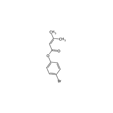 CC(C)=CC(=O)Oc1ccc(Br)cc1